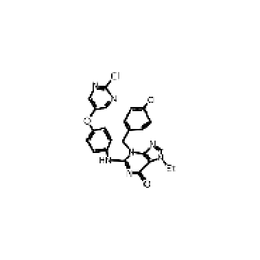 CCn1cnc2c1c(=O)nc(Nc1ccc(Oc3cnc(Cl)nc3)cc1)n2Cc1ccc(Cl)cc1